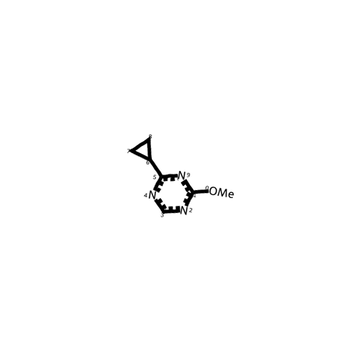 COc1n[c]nc(C2CC2)n1